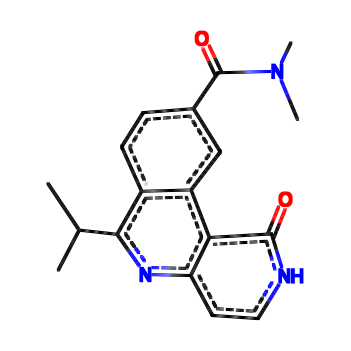 CC(C)c1nc2cc[nH]c(=O)c2c2cc(C(=O)N(C)C)ccc12